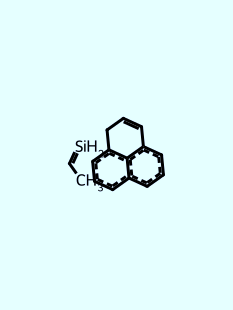 C1=Cc2cccc3cccc(c23)C1.CC=[SiH2]